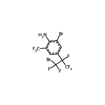 Nc1c(Br)cc(C(F)(C(F)(F)F)C(F)(F)Br)cc1C(F)(F)F